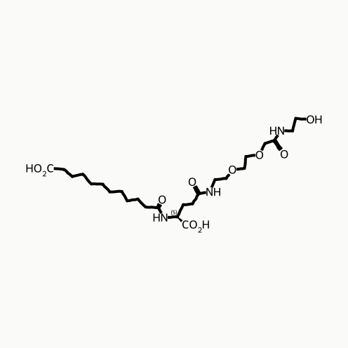 O=C(O)CCCCCCCCCCC(=O)N[C@@H](CCC(=O)NCCOCCOCC(=O)NCCO)C(=O)O